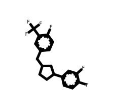 Fc1ccc(C2CCC(Cc3ccc(F)c(C(F)(F)F)c3)C2)cc1F